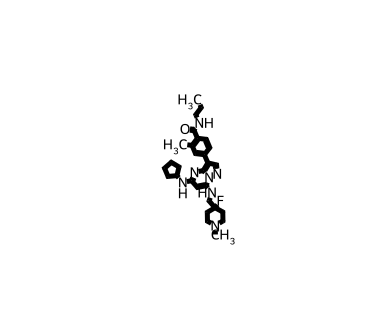 CCCNC(=O)c1ccc(-c2cnn3c(NCC4(F)CCN(C)CC4)cc(NC4CCCC4)nc23)cc1C